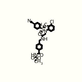 Cc1c(Cl)cccc1N(CC(=O)NCc1ccc(C(=O)NS(C)(=O)=O)cc1)S(=O)(=O)c1ccc(C#N)cc1